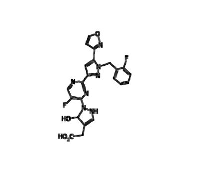 O=C(O)CC1=CNN(c2nc(-c3cc(-c4ccon4)n(Cc4ccccc4F)n3)ncc2F)C1O